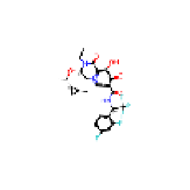 CCN1C(=O)c2c(O)c(=O)c(C(=O)N[C@@H](c3ccc(F)cc3F)C(F)(F)F)cn2C[C@H]1OC(C)[C@H]1CC1C